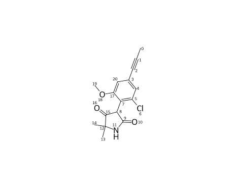 CC#Cc1cc(Cl)c(C2C(=O)NC(C)(C)C2=O)c(OC)c1